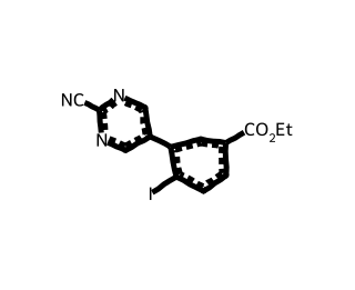 CCOC(=O)c1ccc(I)c(-c2cnc(C#N)nc2)c1